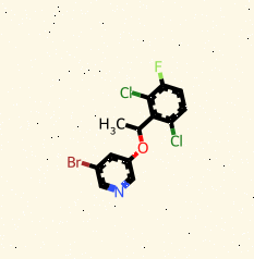 CC(Oc1cncc(Br)c1)c1c(Cl)ccc(F)c1Cl